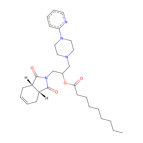 CCCCCCCCC(=O)OC(CN1CCN(c2ccccn2)CC1)CN1C(=O)[C@H]2CC=CC[C@H]2C1=O